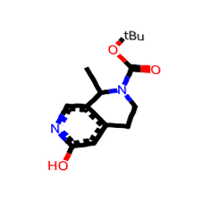 CC1c2cnc(O)cc2CCN1C(=O)OC(C)(C)C